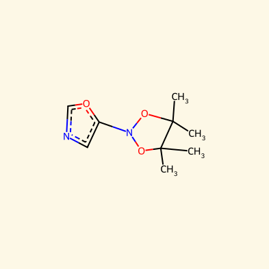 CC1(C)ON(c2cnco2)OC1(C)C